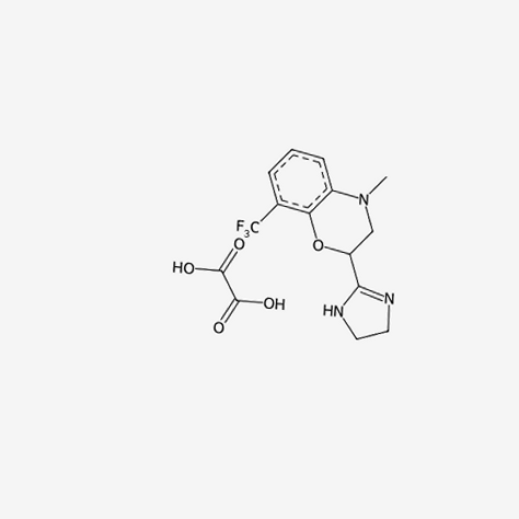 CN1CC(C2=NCCN2)Oc2c1cccc2C(F)(F)F.O=C(O)C(=O)O